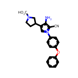 N#Cc1c(N)c(C2CCN(C(=O)O)C2)cn1-c1ccc(Oc2ccccc2)cc1